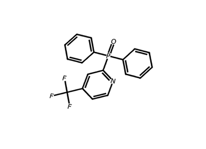 O=P(c1ccccc1)(c1ccccc1)c1cc(C(F)(F)F)ccn1